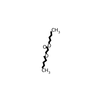 CCCCCCOCCC(=O)OCCCCCC